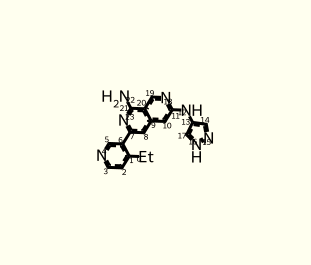 CCc1ccncc1-c1cc2cc(Nc3cn[nH]c3)ncc2c(N)n1